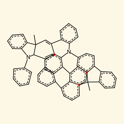 CC1(C)c2ccccc2-c2ccc(N(c3ccccc3C3=CC4(C)c5ccccc5N(c5ccccc5)C4C=C3)c3ccccc3-c3cccc4cccc(-c5ccccc5)c34)cc21